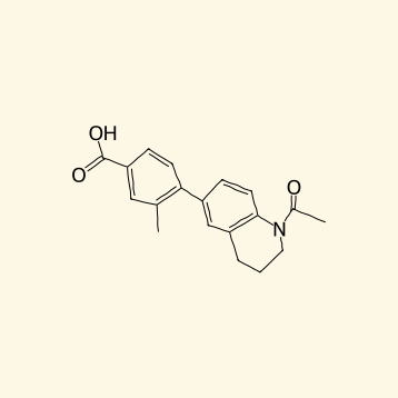 CC(=O)N1CCCc2cc(-c3ccc(C(=O)O)cc3C)ccc21